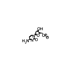 Nc1ccn([C@H]2C[C@@H](O)[C@@H](COP=O)O2)c(=O)n1